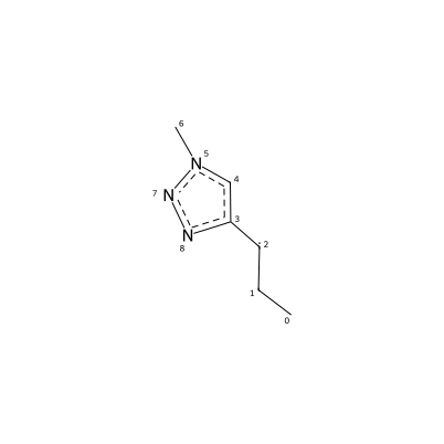 CC[CH]c1cn(C)nn1